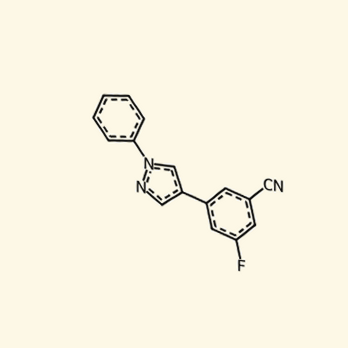 N#Cc1cc(F)cc(-c2cnn(-c3ccccc3)c2)c1